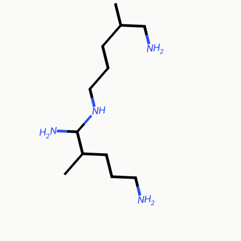 CC(CN)CCCNC(N)C(C)CCCN